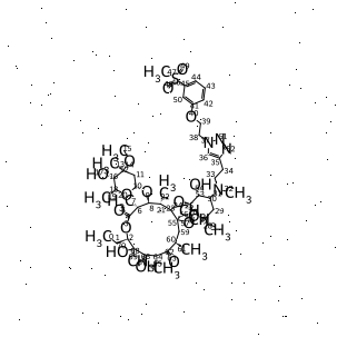 CC[C@H]1OC(=O)[C@H](C)[C@@H](O[C@H]2C[C@@](C)(OC)[C@@H](O)[C@H](C)O2)[C@H](C)[C@@H](O[C@@H]2O[C@H](C)C[C@H](N(C)CCc3cn(CCOc4cccc(S(C)(=O)=O)c4)nn3)[C@H]2O)[C@](C)(OC)C[C@@H](C)C(=O)[C@H](C)[C@@H](O)[C@]1(C)O